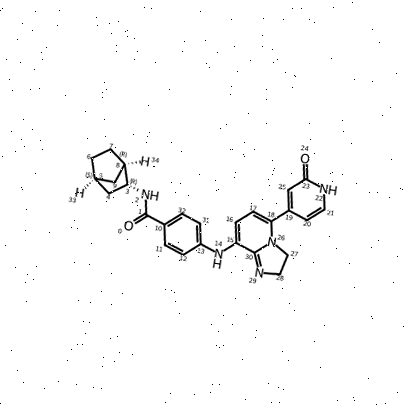 O=C(N[C@@H]1C[C@H]2CC[C@@H]1C2)c1ccc(NC2=CC=C(c3cc[nH]c(=O)c3)N3CCN=C23)cc1